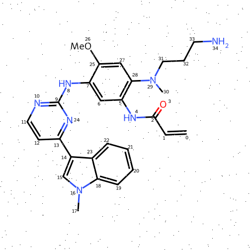 C=CC(=O)Nc1cc(Nc2nccc(-c3cn(C)c4ccccc34)n2)c(OC)cc1N(C)CCCN